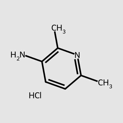 Cc1ccc(N)c(C)n1.Cl